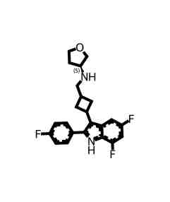 Fc1ccc(-c2[nH]c3c(F)cc(F)cc3c2C2CC(CN[C@H]3CCOC3)C2)cc1